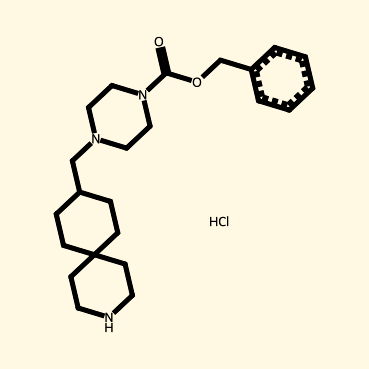 Cl.O=C(OCc1ccccc1)N1CCN(CC2CCC3(CCNCC3)CC2)CC1